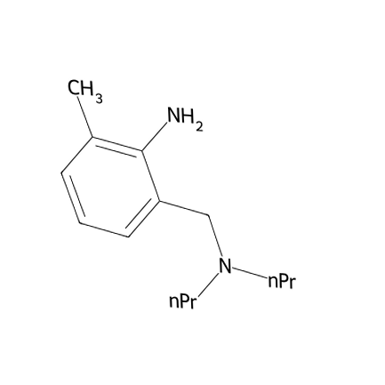 CCCN(CCC)Cc1cccc(C)c1N